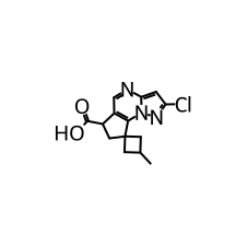 CC1CC2(C1)CC(C(=O)O)c1cnc3cc(Cl)nn3c12